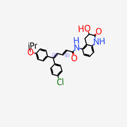 CC(C)Oc1ccc(/C(=C/C=C/C(=O)Nc2cccc3c2CC(O)C(=O)N3)c2ccc(Cl)cc2)cc1